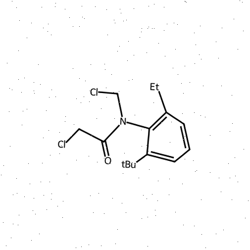 CCc1cccc(C(C)(C)C)c1N(CCl)C(=O)CCl